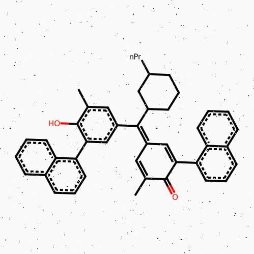 CCCC1CCCC(C(=C2C=C(C)C(=O)C(c3cccc4ccccc34)=C2)c2cc(C)c(O)c(-c3cccc4ccccc34)c2)C1